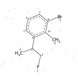 C[C](CF)c1cccc(Br)c1C